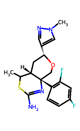 CC1SC(N)=N[C@@]2(c3ccc(F)cc3F)CO[C@@H](c3cnn(C)c3)C[C@@H]12